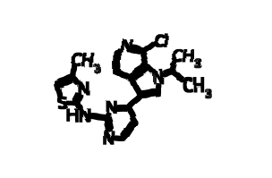 Cc1csc(Nc2nccc(-c3cn(C(C)C)c4c(Cl)nccc34)n2)n1